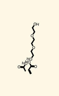 C=CC(=O)O.CC(=O)O.OCCOCCOCCO